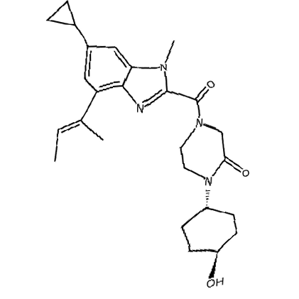 C/C=C(\C)c1cc(C2CC2)cc2c1nc(C(=O)N1CCN([C@H]3CC[C@H](O)CC3)C(=O)C1)n2C